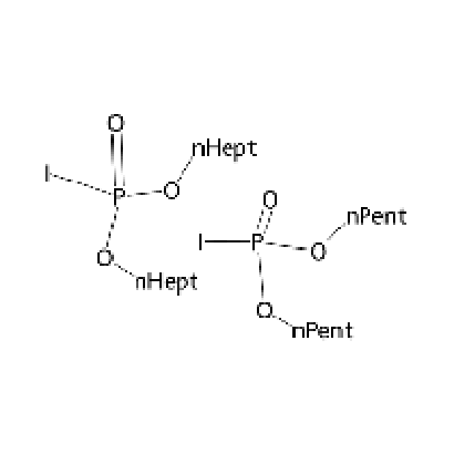 CCCCCCCOP(=O)(I)OCCCCCCC.CCCCCOP(=O)(I)OCCCCC